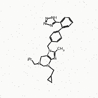 Cc1nc2c(n1Cc1ccc(-c3ccccc3-c3nnn[nH]3)cc1)CN(CC(C)C)CN2CC1CC1